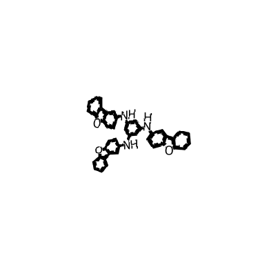 c1ccc2c(c1)oc1ccc(Nc3cc(Nc4ccc5oc6ccccc6c5c4)cc(Nc4ccc5oc6ccccc6c5c4)c3)cc12